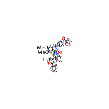 COc1cc2nc(N3CCN(C(=O)C4CCCO4)CC3)nc(NC(=O)[C@H]3CCCN3C(=S)C(C)CC(=O)c3ccccc3)c2cc1OC